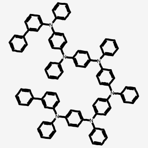 c1ccc(-c2cccc(N(c3ccccc3)c3ccc(N(c4ccccc4)c4ccc(N(c5ccccc5)c5ccc(N(c6ccccc6)c6ccc(N(c7ccccc7)c7ccc(N(c8ccccc8)c8cccc(-c9ccccc9)c8)cc7)cc6)cc5)cc4)cc3)c2)cc1